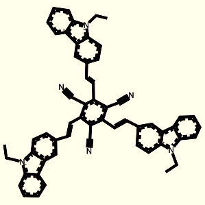 CCn1c2ccccc2c2cc(/C=C/c3c(C#N)c(/C=C/c4ccc5c(c4)c4ccccc4n5CC)c(C#N)c(/C=C/c4ccc5c(c4)c4ccccc4n5CC)c3C#N)ccc21